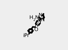 Cc1cnc(N2CCN(C(=O)Cc3ccc(C(C)C)cc3)CC2)c(N)n1